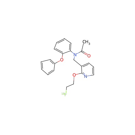 CC(=O)N(Cc1cccnc1OCC[18F])c1ccccc1Oc1ccccc1